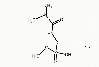 C=C(C)C(=O)NCP(=O)(O)OC